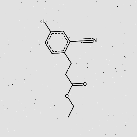 CCOC(=O)CCc1c[c]c(Cl)cc1C#N